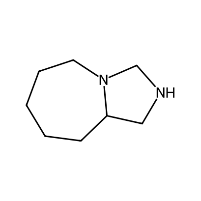 C1CCC2CNCN2CC1